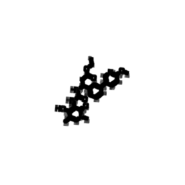 CCOC(=O)CC(NC(=O)Nc1c(O)c(C)cn(C)c1=O)c1cccc(-c2ccc(OC)nc2)c1